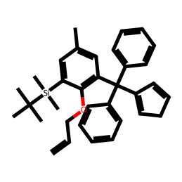 C=CCOc1c(C(C2=CCC=C2)(c2ccccc2)c2ccccc2)cc(C)cc1[Si](C)(C)C(C)(C)C